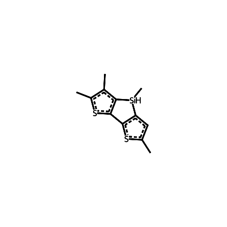 Cc1cc2c(s1)-c1sc(C)c(C)c1[SiH]2C